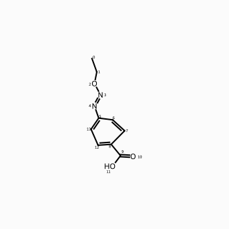 CCON=Nc1ccc(C(=O)O)cc1